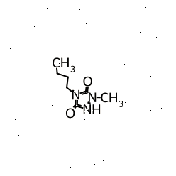 CCCCn1c(=O)[nH]n(C)c1=O